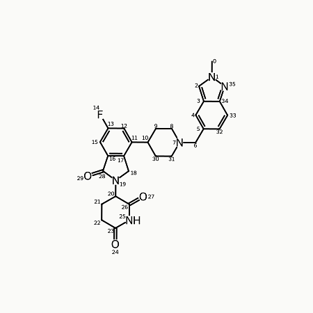 Cn1cc2cc(CN3CCC(c4cc(F)cc5c4CN(C4CCC(=O)NC4=O)C5=O)CC3)ccc2n1